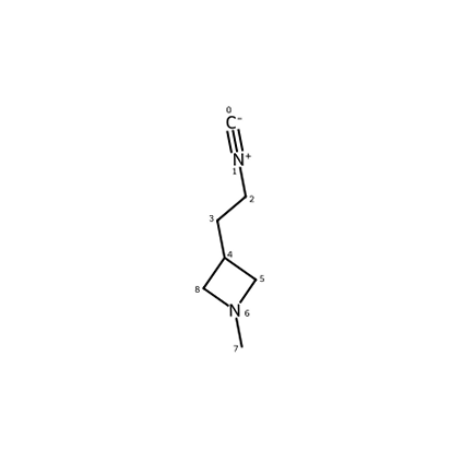 [C-]#[N+]CCC1CN(C)C1